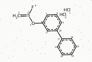 Cl.Cl.[CH2]=[Ti]([F])[O]c1cccc(-c2ccccc2)c1